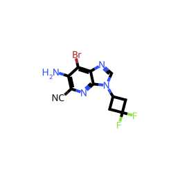 N#Cc1nc2c(ncn2C2CC(F)(F)C2)c(Br)c1N